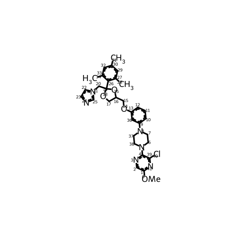 COc1cnc(N2CCN(c3cccc(OCC4COC(Cn5ccnc5)(c5c(C)cc(C)cc5C)O4)c3)CC2)c(Cl)n1